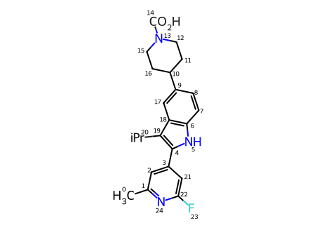 Cc1cc(-c2[nH]c3ccc(C4CCN(C(=O)O)CC4)cc3c2C(C)C)cc(F)n1